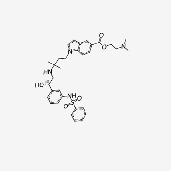 CN(C)CCOC(=O)c1ccc2c(ccn2CCC(C)(C)NC[C@@H](O)c2cccc(NS(=O)(=O)c3ccccc3)c2)c1